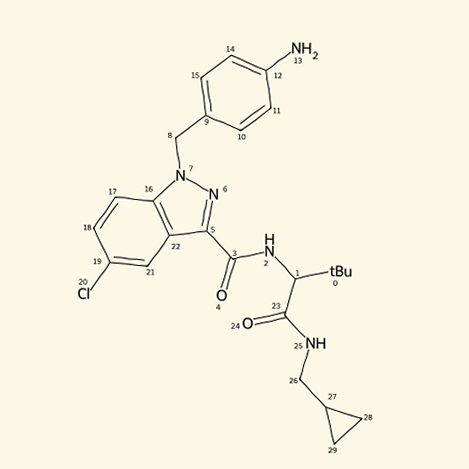 CC(C)(C)C(NC(=O)c1nn(Cc2ccc(N)cc2)c2ccc(Cl)cc12)C(=O)NCC1CC1